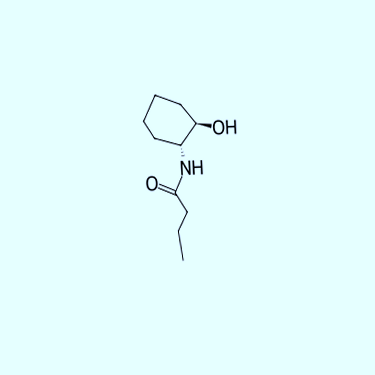 CCCC(=O)N[C@@H]1CCCC[C@H]1O